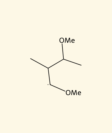 CO[CH]C(C)C(C)OC